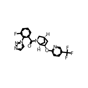 O=C(c1cccc(F)c1-n1ccnn1)N1C[C@H]2C[C@@H](Oc3ccc(C(F)(F)F)cn3)[C@@H]1C2